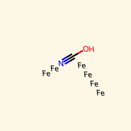 N#CO.[Fe].[Fe].[Fe].[Fe].[Fe].[Fe]